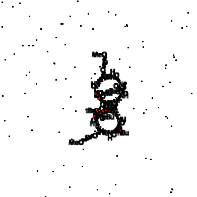 CCCCOc1c2cccc1C(=O)NCCN(CC(CN1CCNC(=O)c3cc(C)n(c(=O)c3OCCCC)CC(=O)NCCN(CCOCCOCCOC)CCNC(=O)Cn3c(C)cc(c(OCCCC)c3=O)C(=O)NCC1)OCCCCNC(=O)OC(C)(C)C)CCNC(=O)c1cccc(c1OCCCC)C(=O)NCCN(CCOCCOCCOC)CCNC2=O